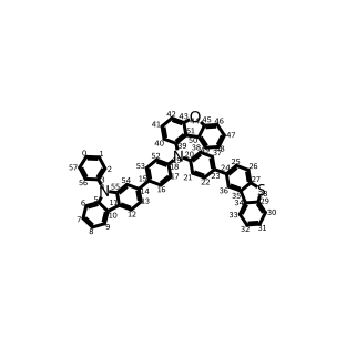 c1ccc(-n2c3ccccc3c3ccc(-c4ccc(N(c5ccc(-c6ccc7sc8ccccc8c7c6)cc5)c5cccc6oc7ccccc7c56)cc4)cc32)cc1